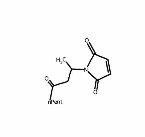 CCCCCC(=O)CC(C)N1C(=O)C=CC1=O